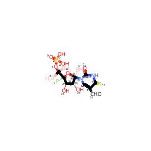 BC(B)(OP(=O)(O)O)[C@@]1(F)O[C@@](B)(n2cc(C=O)c(=S)[nH]c2=O)[C@H](O)[C@@H]1O